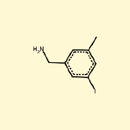 Cc1cc(I)cc(CN)c1